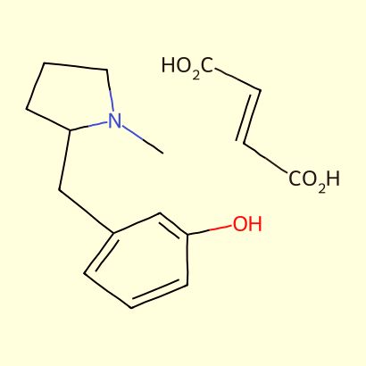 CN1CCCC1Cc1cccc(O)c1.O=C(O)/C=C/C(=O)O